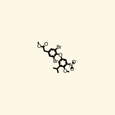 COC(=O)Cc1cc(Br)c(Oc2cc(C(C)C)c(OC)c([N+](=O)[O-])c2)c(Br)c1